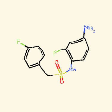 Nc1ccc(NS(=O)(=O)Cc2ccc(F)cc2)c(F)c1